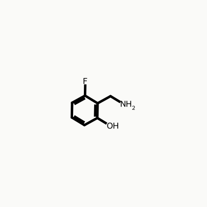 NCc1c(O)cccc1F